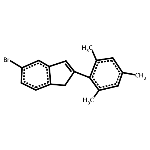 Cc1cc(C)c(C2=Cc3cc(Br)ccc3C2)c(C)c1